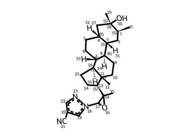 C[C@H]1C[C@H]2[C@H](CC[C@@H]3[C@@H]2CC[C@]2(C)[C@@H](C4(C)OC4n4cc(C#N)cn4)CC[C@@H]32)C[C@]1(C)O